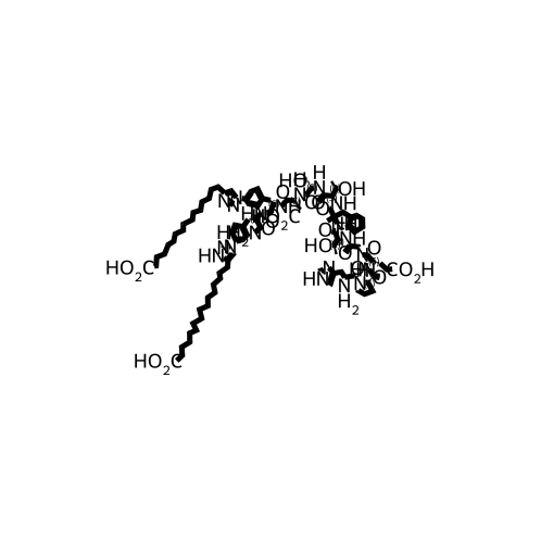 C[C@@H](O)[C@H](NC(=O)CNC(=O)[C@H](CCC(=O)O)NC(=O)[C@@H]1CCCN1C(=O)C(N)Cc1c[nH]cn1)C(=O)NC(C)(Cc1ccccc1F)C(=O)N[C@H](C(=O)N[C@@H](CO)C(=O)N[C@@H](CC(=O)O)C(=O)N[C@@H](Cc1ccc(-n2cc(CCCCCCCCCCCCCCCC(=O)O)nn2)cc1)C(=O)N[C@@H](Cc1ccc(N2C=C(CCCCCCCCCCCCCCCC(=O)O)NN2)cc1)C(N)=O)[C@@H](C)O